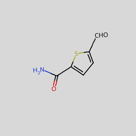 NC(=O)c1ccc(C=O)s1